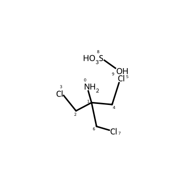 NC(CCl)(CCl)CCl.O=S(=O)(O)O